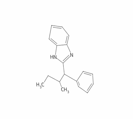 CCC(C)C(c1ccccc1)c1nc2ccccc2[nH]1